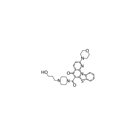 O=C(c1c(=O)c2ccc(N3CCOCC3)nc2n2c1sc1ccccc12)N1CCN(CCCO)CC1